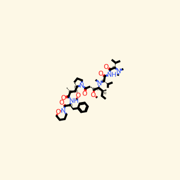 CC[C@H](C)[C@@H]([C@@H](CC(=O)N1CCC[C@H]1[C@H](OC)[C@@H](C)C(=O)N[C@@H](Cc1ccccc1)C(=O)N1CCCCO1)OC)N(C)[C@H](C(=O)NC(=O)[C@H](C(C)C)N(C)C)C(C)C